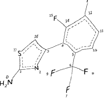 Nc1nc(-c2c(C(F)(F)F)ccc(F)c2F)cs1